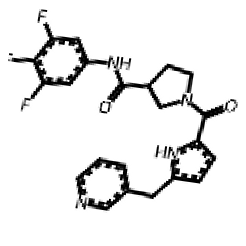 O=C(Nc1cc(F)c(F)c(F)c1)C1CCN(C(=O)c2ccc(Cc3cccnc3)[nH]2)C1